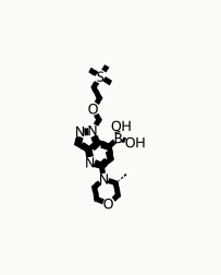 C[C@@H]1COCCN1c1cc(B(O)O)c2c(cnn2COCCS(C)(C)C)n1